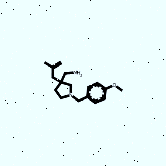 C=C(C)CC1(CN)CCN(Cc2ccc(OC)cc2)C1